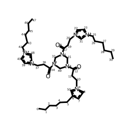 CCCCCCc1ccn(CCC(=O)N2CN(C(=O)CCn3cc[n+](CCCCCC)c3)CN(C(=O)CCn3cc[n+](CCCCCC)c3)C2)c1